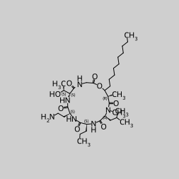 CCCCCCCCCCC1OC(=O)CNC(=O)[C@H]([C@H](C)O)NC(=O)[C@H](CCN)NC(=O)[C@H](CCC)NC(=O)[C@H](CC(C)C)N(C)C(=O)[C@@H]1C